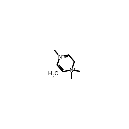 C[N+]1=CC[N+](C)(C)C=C1.O